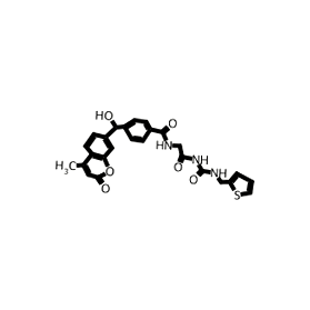 Cc1cc(=O)oc2cc(C(O)c3ccc(C(=O)NCC(=O)NC(=O)NCc4cccs4)cc3)ccc12